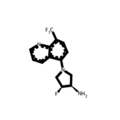 N[C@@H]1CN(c2ccc(C(F)(F)F)c3ncccc23)C[C@@H]1F